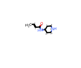 CC=CC(=O)NC1CCNCC1